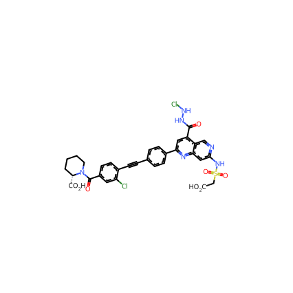 O=C(O)CS(=O)(=O)Nc1cc2nc(-c3ccc(C#Cc4ccc(C(=O)N5CCCC[C@H]5C(=O)O)cc4Cl)cc3)cc(C(=O)NNCl)c2cn1